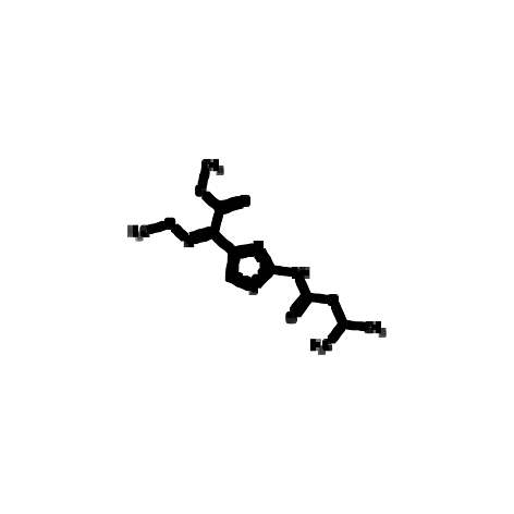 CON=C(C(=O)OC)c1csc(NC(=O)OC(C)C)n1